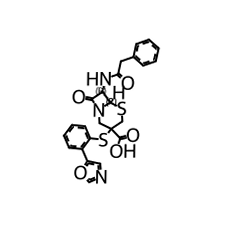 O=C(Cc1ccccc1)N[C@@H]1C(=O)N2CC(Sc3ccccc3-c3cnco3)(C(=O)O)CS[C@H]12